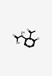 CC(=O)c1c(Cl)cccc1[C@@H](O)C(=O)O